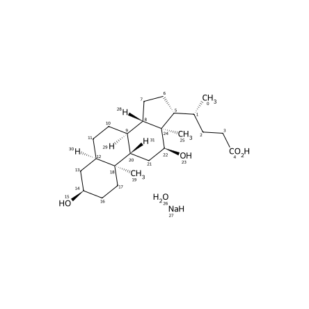 C[C@H](CCC(=O)O)[C@H]1CC[C@H]2[C@@H]3CC[C@@H]4C[C@H](O)CC[C@]4(C)[C@H]3C[C@H](O)[C@]12C.O.[NaH]